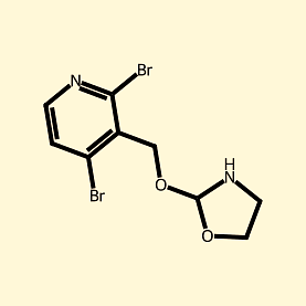 Brc1ccnc(Br)c1COC1NCCO1